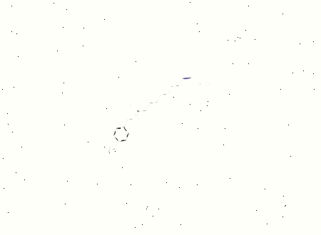 CCCCCCCC/C=C\CCCCCCCC(=O)OCc1ccc(CN(C)C)cc1